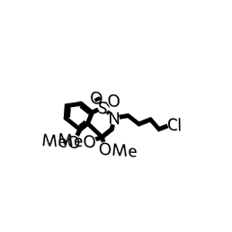 COc1cccc2c1C(OC)(OC)CN(CCCCCl)S2(=O)=O